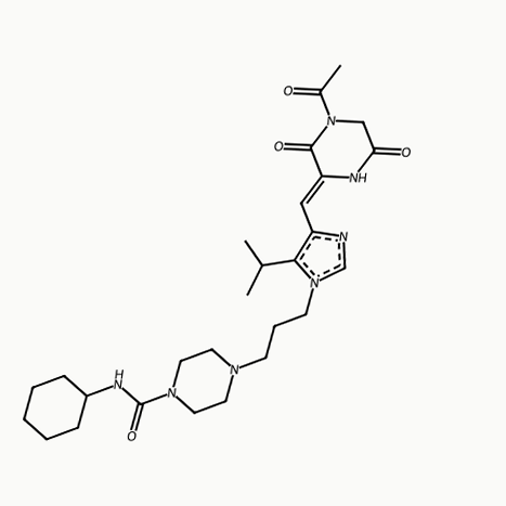 CC(=O)N1CC(=O)N/C(=C\c2ncn(CCCN3CCN(C(=O)NC4CCCCC4)CC3)c2C(C)C)C1=O